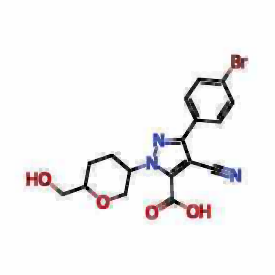 N#Cc1c(-c2ccc(Br)cc2)nn(C2CCC(CO)OC2)c1C(=O)O